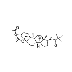 CC(=O)OC[C@]12CCC(OC(C)=O)CC1CC[C@@H]1[C@H]2CC[C@]2(C)C(OC(=O)C(C)(C)C)CC[C@@]12O